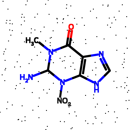 CN1C(=O)c2nc[nH]c2N([N+](=O)[O-])C1N